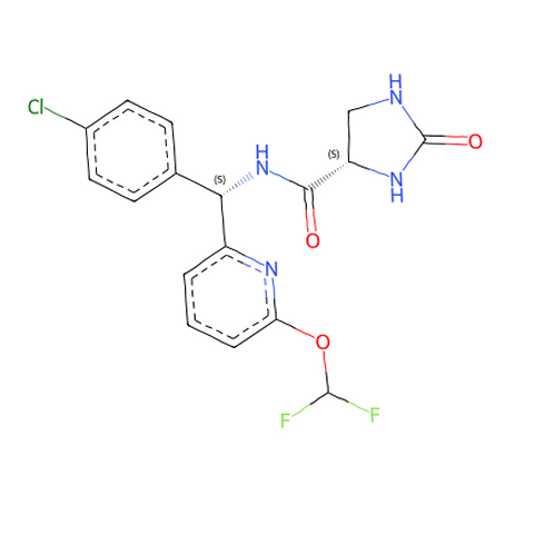 O=C1NC[C@@H](C(=O)N[C@@H](c2ccc(Cl)cc2)c2cccc(OC(F)F)n2)N1